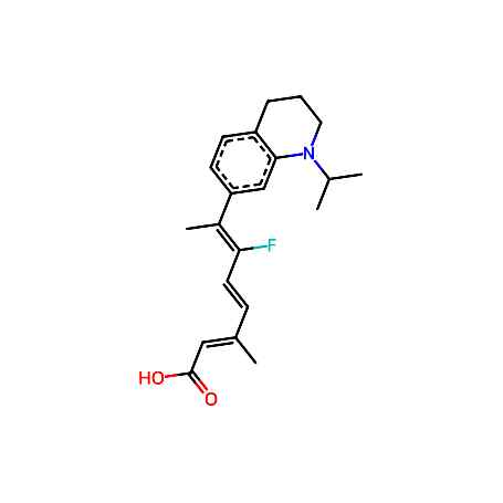 CC(C=CC(F)=C(C)c1ccc2c(c1)N(C(C)C)CCC2)=CC(=O)O